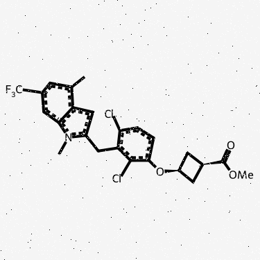 COC(=O)[C@H]1C[C@@H](Oc2ccc(Cl)c(Cc3cc4c(C)cc(C(F)(F)F)cc4n3C)c2Cl)C1